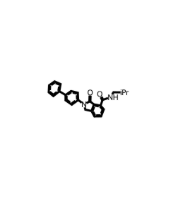 CC(C)CNC(=O)c1cccc2c1C(=O)N(c1ccc(-c3ccccc3)cc1)C2